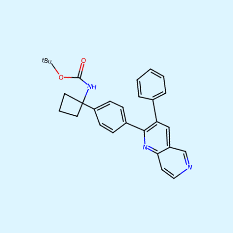 CC(C)(C)OC(=O)NC1(c2ccc(-c3nc4ccncc4cc3-c3ccccc3)cc2)CCC1